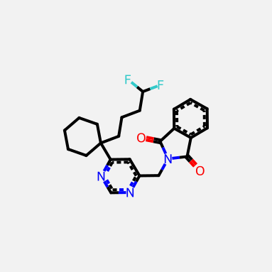 O=C1c2ccccc2C(=O)N1Cc1cc(C2(CCCC(F)F)CCCCC2)ncn1